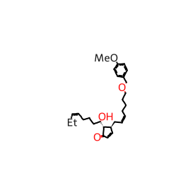 CC/C=C\CCCC(O)[C@H]1C(=O)C=C[C@@H]1C/C=C\CCCCOCc1ccc(OC)cc1